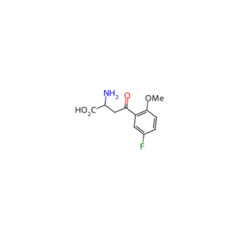 COc1ccc(F)cc1C(=O)CC(N)C(=O)O